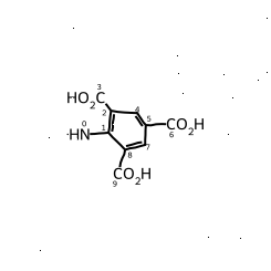 [NH]c1c(C(=O)O)cc(C(=O)O)cc1C(=O)O